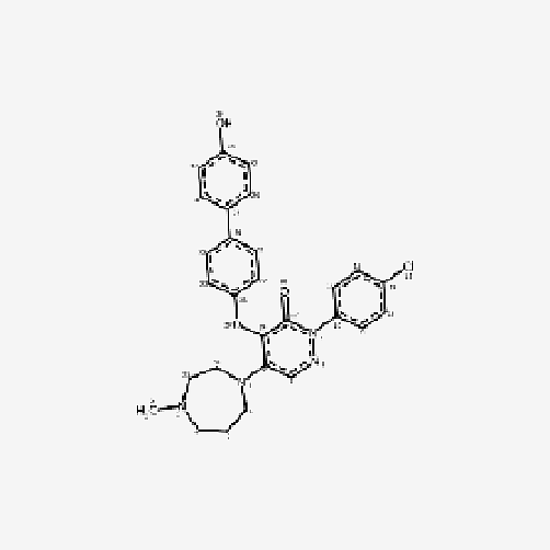 CN1CCCN(c2cnn(-c3ccc(Cl)cc3)c(=O)c2Oc2ccc(-c3ccc(O)cc3)cc2)CC1